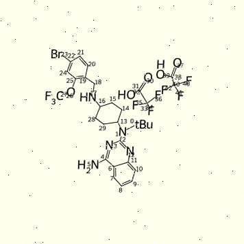 CC(C)(C)N(c1nc(N)c2ccccc2n1)C1CCC(NCc2ccc(Br)cc2OC(F)(F)F)CC1.O=C(O)C(F)(F)F.O=C(O)C(F)(F)F